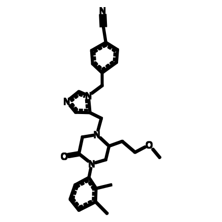 COCCC1CN(c2cccc(C)c2C)C(=O)CN1Cc1cncn1Cc1ccc(C#N)cc1